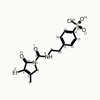 CCC1=C(C)CN(C(=O)NCCc2ccc(S(=O)(=O)Cl)cc2)C1=O